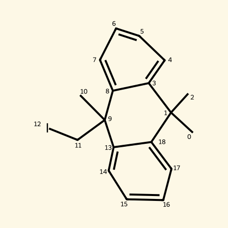 CC1(C)c2ccccc2C(C)(CI)c2ccccc21